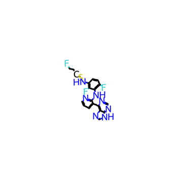 FCCCSNc1ccc(F)c(Nc2ncccc2-c2ncnc3[nH]cnc23)c1F